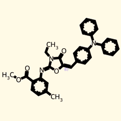 CCN1C(=O)/C(=C\c2ccc(N(c3ccccc3)c3ccccc3)cc2)OC1=Nc1cc(C)ccc1C(=O)OC